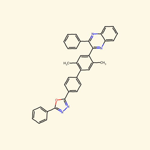 Cc1cc(-c2nc3ccccc3nc2-c2ccccc2)c(C)cc1-c1ccc(-c2nnc(-c3ccccc3)o2)cc1